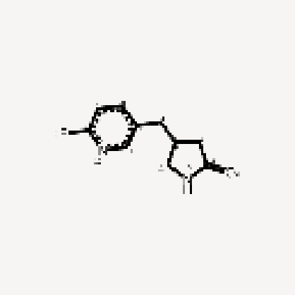 O=C1CC(Cc2ccc(F)nc2)CN1